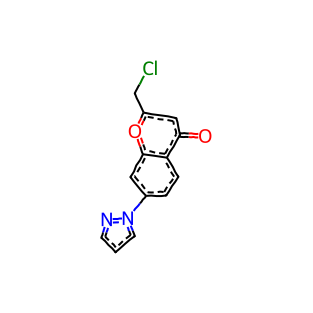 O=c1cc(CCl)oc2cc(-n3cccn3)ccc12